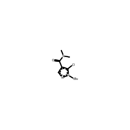 CN(C)C(=O)c1cnn(C(C)(C)C)c1Cl